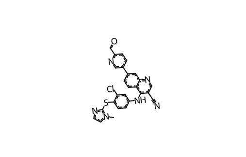 Cn1ccnc1Sc1ccc(Nc2c(C#N)cnc3cc(-c4ccc(C=O)nc4)ccc23)cc1Cl